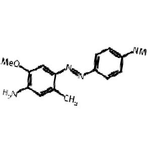 CNc1ccc(/N=N/c2cc(OC)c(N)cc2C)cc1